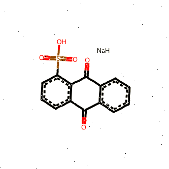 O=C1c2ccccc2C(=O)c2c1cccc2S(=O)(=O)O.[NaH]